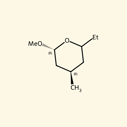 CCC1C[C@@H](C)C[C@H](OC)O1